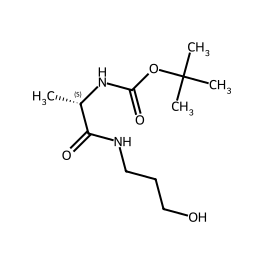 C[C@H](NC(=O)OC(C)(C)C)C(=O)NCCCO